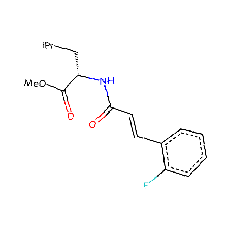 COC(=O)[C@H](CC(C)C)NC(=O)C=Cc1ccccc1F